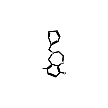 Fc1ccc(Br)c2c1CN(Cc1ccccc1)CCO2